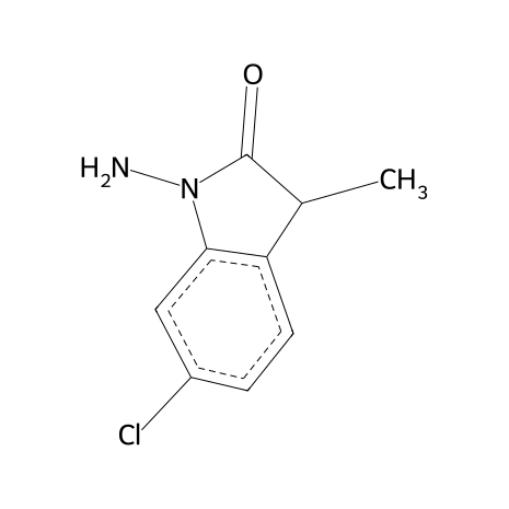 CC1C(=O)N(N)c2cc(Cl)ccc21